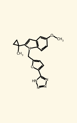 COc1ccc2c(c1)cc(C1(C)CC1)n2Cc1ccc(-c2nnn[nH]2)o1